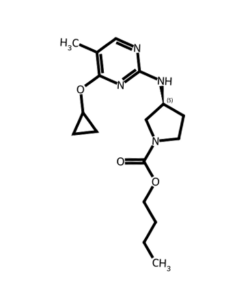 CCCCOC(=O)N1CC[C@H](Nc2ncc(C)c(OC3CC3)n2)C1